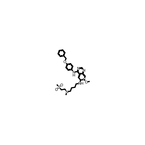 CON1C=c2ncnc(Nc3ccc(OCc4ccccc4)cc3)c2=CC1NCCCCN(C)CCS(C)(=O)=O